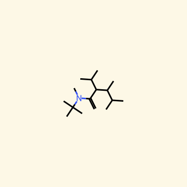 C=C(C(C(C)C)C(C)C(C)C)N(C)C(C)(C)C